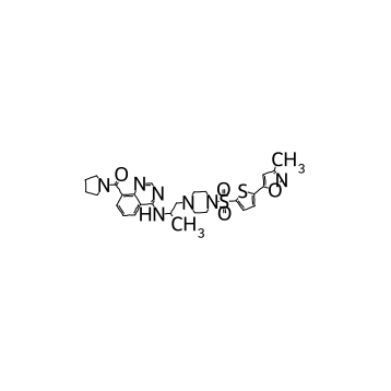 Cc1cc(-c2ccc(S(=O)(=O)N3CCN(CC(C)Nc4ncnc5c(C(=O)N6CCCC6)cccc45)CC3)s2)on1